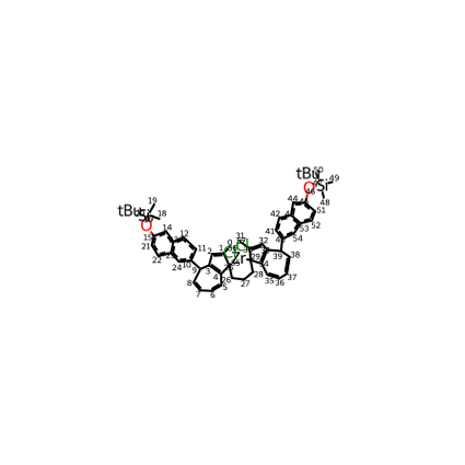 CC1=CC2=C(C=CC=CC2c2ccc3cc(O[Si](C)(C)C(C)(C)C)ccc3c2)[C]12CCC[C]1(C(C)=CC3=C1C=CC=CC3c1ccc3cc(O[Si](C)(C)C(C)(C)C)ccc3c1)[Zr]2([Cl])[Cl]